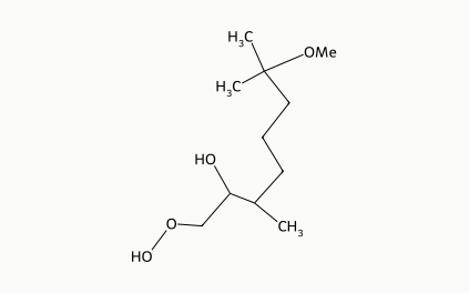 COC(C)(C)CCCC(C)C(O)COO